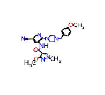 COc1ccc(CN2CCN(c3ncc(C#N)cc3NC(=O)c3cn(C)nc3OC)CC2)cc1